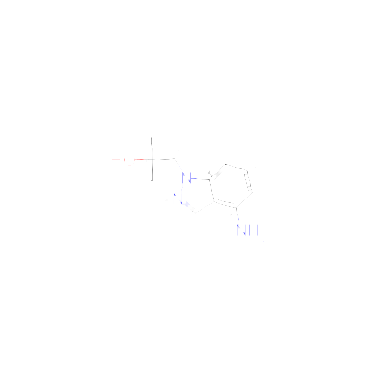 CC(C)(O)Cn1ncc2c(N)cccc21